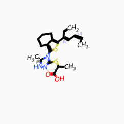 C=C/C(=C\C=C/C)c1sc(N2C(SC(C)C(=O)O)=NN[C@@H]2C)c2c1CCCC2